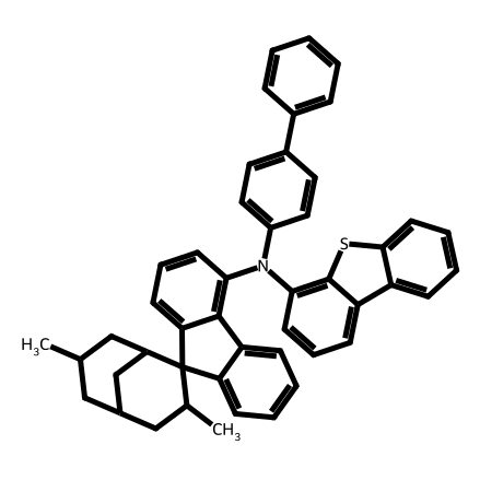 CC1CC2CC(C)C3(c4ccccc4-c4c(N(c5ccc(-c6ccccc6)cc5)c5cccc6c5sc5ccccc56)cccc43)C(C1)C2